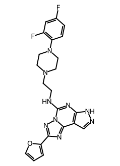 Fc1ccc(N2CCN(CCNc3nc4[nH]ncc4c4nc(-c5ccco5)nn34)CC2)c(F)c1